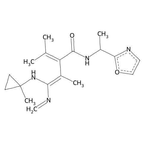 C=N/C(NC1(C)CC1)=C(\C)C(C(=O)NC(C)c1ncco1)=C(C)C